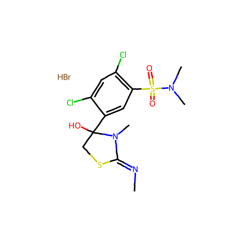 Br.CN=C1SCC(O)(c2cc(S(=O)(=O)N(C)C)c(Cl)cc2Cl)N1C